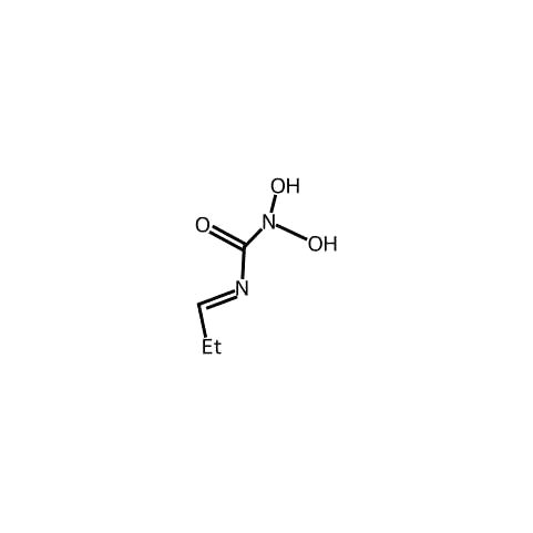 CCC=NC(=O)N(O)O